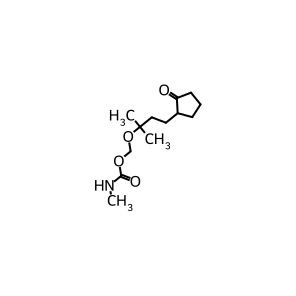 CNC(=O)OCOC(C)(C)CCC1CCCC1=O